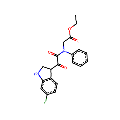 CCOC(=O)CN(C(=O)C(=O)C1CNc2cc(F)ccc21)c1ccccc1